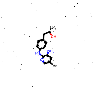 CC(=O)c1cnc(Nc2ccc(C[C@H](C)O)cc2)c(N)c1